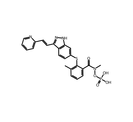 Cc1cccc(C(=O)N(C)OP(=O)(O)O)c1Sc1ccc2c(/C=C/c3ccccn3)n[nH]c2c1